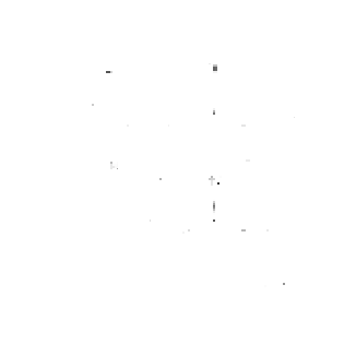 COC(=S)N(C(=O)c1ccccc1)c1c(CO)cc(C(F)(F)F)nc1Cl